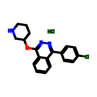 Cl.Clc1ccc(-c2nnc(OC3CCCNC3)c3ccccc23)cc1